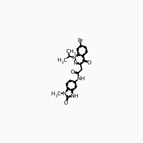 CC(C)n1nc(CC(=O)Nc2ccc3c(c2)[nH]c(=O)n3C)c(=O)c2ccc(Br)cc21